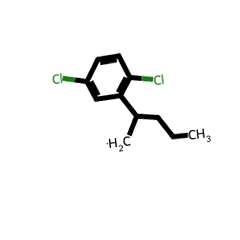 [CH2]C(CCC)c1cc(Cl)ccc1Cl